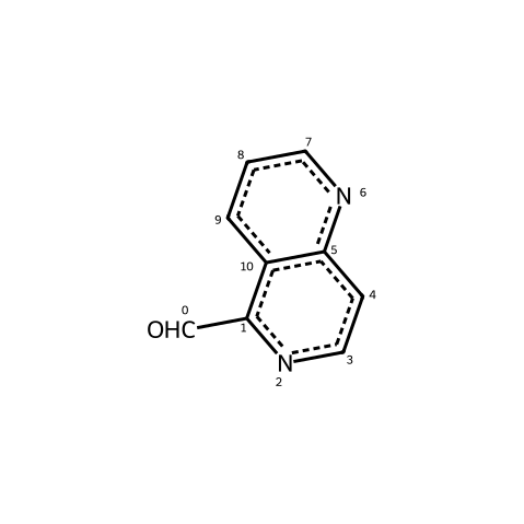 O=Cc1nccc2ncccc12